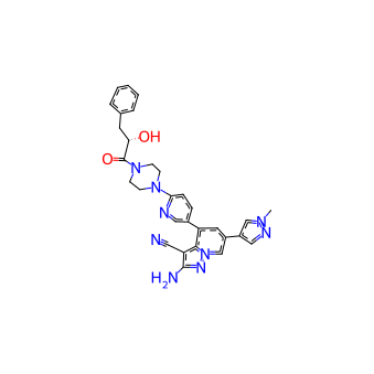 Cn1cc(-c2cc(-c3ccc(N4CCN(C(=O)[C@@H](O)Cc5ccccc5)CC4)nc3)c3c(C#N)c(N)nn3c2)cn1